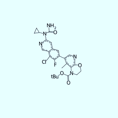 Cc1c(-c2cc3cc(N(C(N)=O)C4CC4)ncc3c(Cl)c2F)cnc2c1N(C(=O)OC(C)(C)C)CCO2